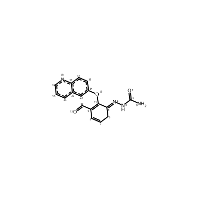 NC(=O)NN=C1CC=CC(C=O)=C1Oc1ccc2ncccc2c1